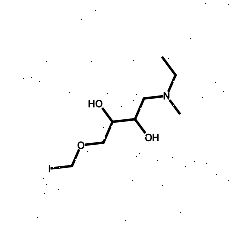 CCN(C)CC(O)C(O)COCI